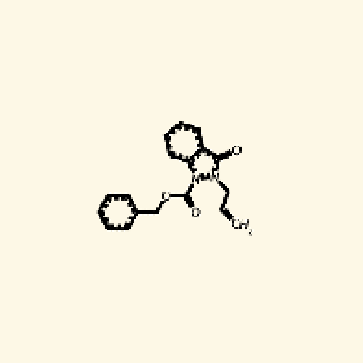 C=CCn1c(=O)c2ccccc2n1C(=O)OCc1ccccc1